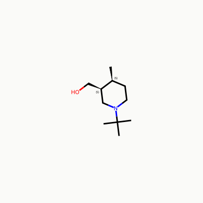 C[C@H]1CCN(C(C)(C)C)C[C@H]1CO